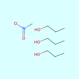 CCCO.CCCO.CCCO.C[N+](=O)[O-]